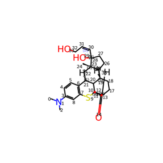 CN(C)c1ccc2c(c1)S[C@]13CCC(=O)C=C1CC[C@@H]1C3[C@@H]2C[C@@]2(C)[C@H]1CC[C@@]2(O)/C=C\CO